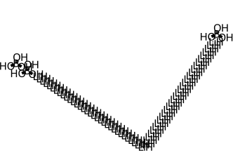 OB(O)O.OB(O)O.OB(O)O.[LiH].[LiH].[LiH].[LiH].[LiH].[LiH].[LiH].[LiH].[LiH].[LiH].[LiH].[LiH].[LiH].[LiH].[LiH].[LiH].[LiH].[LiH].[LiH].[LiH].[LiH].[LiH].[LiH].[LiH].[LiH].[LiH].[LiH].[LiH].[LiH].[LiH].[LiH].[LiH].[LiH].[LiH].[LiH].[LiH].[LiH].[LiH].[LiH].[LiH].[LiH].[LiH].[LiH].[LiH].[LiH].[LiH].[LiH].[LiH].[LiH].[LiH].[LiH].[LiH].[LiH].[LiH].[LiH].[LiH].[LiH].[LiH].[LiH].[LiH].[LiH].[LiH].[LiH]